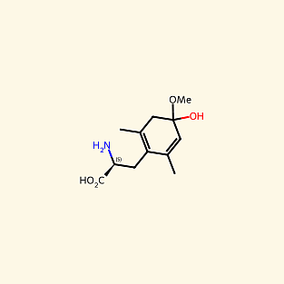 COC1(O)C=C(C)C(C[C@H](N)C(=O)O)=C(C)C1